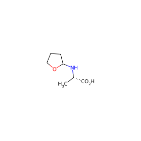 C[C@H](NC1CCCO1)C(=O)O